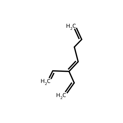 C=CCC=C(C=C)C=C